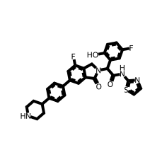 O=C(Nc1nccs1)C(c1cc(F)ccc1O)N1Cc2c(F)cc(-c3ccc(C4CCNCC4)cc3)cc2C1=O